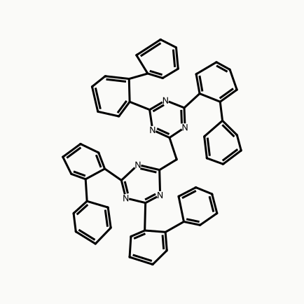 c1ccc(-c2ccccc2-c2nc(Cc3nc(-c4ccccc4-c4ccccc4)nc(-c4ccccc4-c4ccccc4)n3)nc(-c3ccccc3-c3ccccc3)n2)cc1